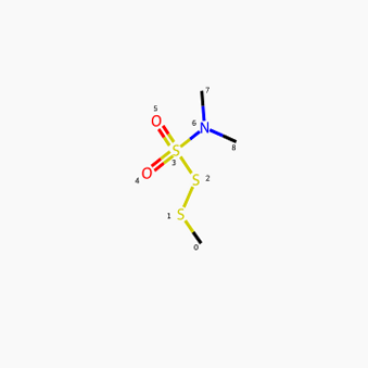 CSSS(=O)(=O)N(C)C